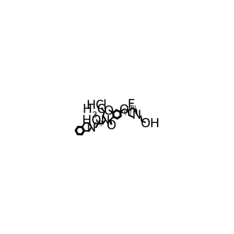 CC1CN(C[C@H](O)CN2CCc3ccccc3C2)C(=O)c2ccc(O[C@@H]3CCN(CCO)C[C@H]3F)cc2O1.Cl